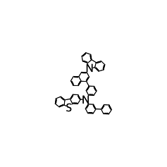 c1ccc(-c2cccc(N(c3cccc(-c4cc(-n5c6ccccc6c6ccccc65)cc5ccccc45)c3)c3ccc4c(c3)sc3ccccc34)c2)cc1